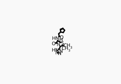 CC1(C)S[C@H]2C(NC(=O)CC3C=CCC3)C(=O)N2C1c1nnn[nH]1